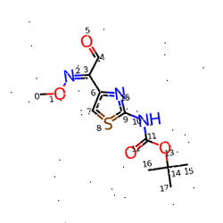 CO/N=C(/[C]=O)c1csc(NC(=O)OC(C)(C)C)n1